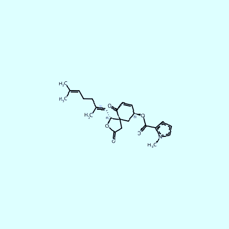 CC(C)=CCC/C(C)=C/[C@H]1OC(=O)CC12C[C@H](OC(=O)c1cccn1C)C=CC2=O